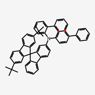 CC(C)(C)c1ccc2c(c1)C1(c3ccccc3-c3ccc(N(c4ccc(-c5ccccc5)cc4)c4ccccc4-c4ccccc4)cc31)c1cc(C(C)(C)C)ccc1-2